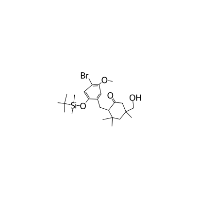 COc1cc(CC2C(=O)CC(C)(CO)CC2(C)C)c(O[Si](C)(C)C(C)(C)C)cc1Br